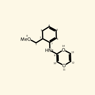 COCC1CC=CC=C1NC1=COC=CO1